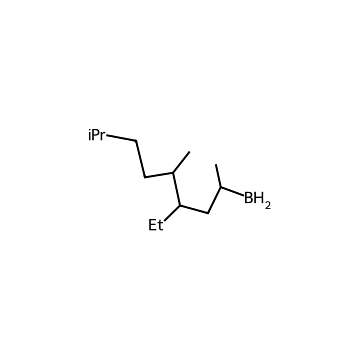 BC(C)CC(CC)C(C)CCC(C)C